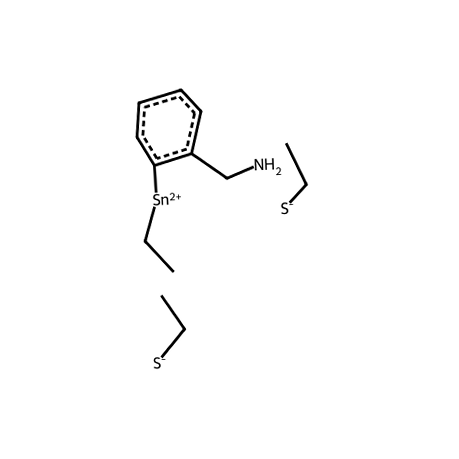 CC[S-].CC[S-].C[CH2][Sn+2][c]1ccccc1CN